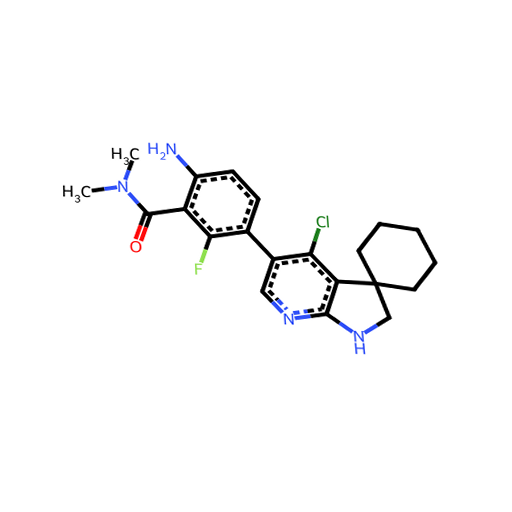 CN(C)C(=O)c1c(N)ccc(-c2cnc3c(c2Cl)C2(CCCCC2)CN3)c1F